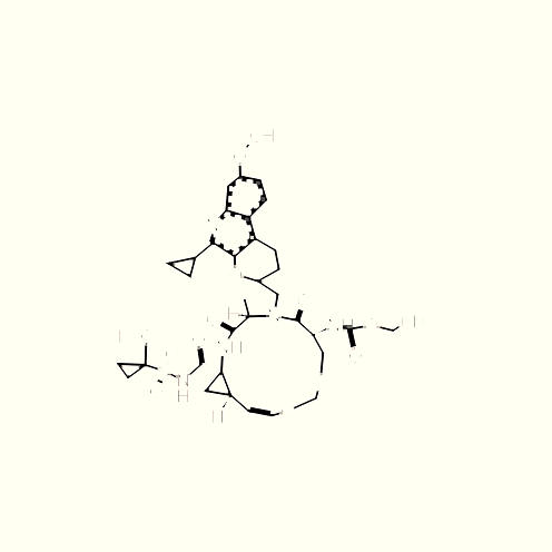 CCOC(=O)N[C@H]1CCCC/C=C\[C@@H]2C[C@@]2(C(=O)NS(=O)(=O)C2(C)CC2)NC(=O)[C@@H]2C[C@]3(CCc4c(c(C5CC5)nc5cc(OC)ccc45)O3)CN2C1=O